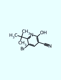 CC(C)(C)c1nc(O)c(C#N)cc1Br